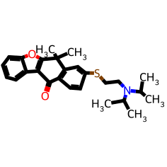 CC(C)N(CCSc1ccc2c(c1)C(C)(C)c1oc3ccccc3c1C2=O)C(C)C